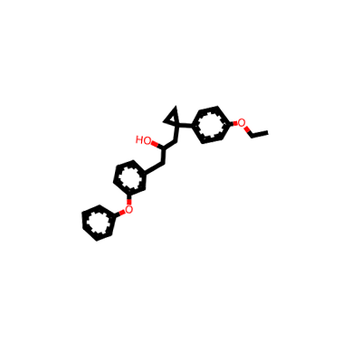 CCOc1ccc(C2(CC(O)Cc3cccc(Oc4ccccc4)c3)CC2)cc1